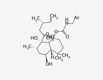 C=C[C@@H](C)CC(=O)[C@]1(O)[C@@H](C)C[C@H](O)[C@H]2C(C)(C)CC[C@](O)(OC(=O)NCC(C)=O)[C@@]21C